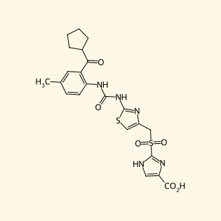 Cc1ccc(NC(=O)Nc2nc(CS(=O)(=O)c3nc(C(=O)O)c[nH]3)cs2)c(C(=O)C2CCCC2)c1